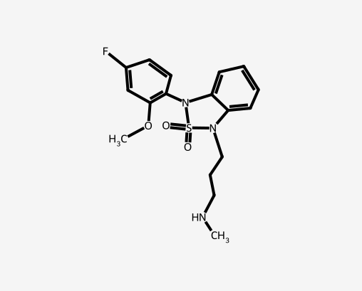 CNCCCN1c2ccccc2N(c2ccc(F)cc2OC)S1(=O)=O